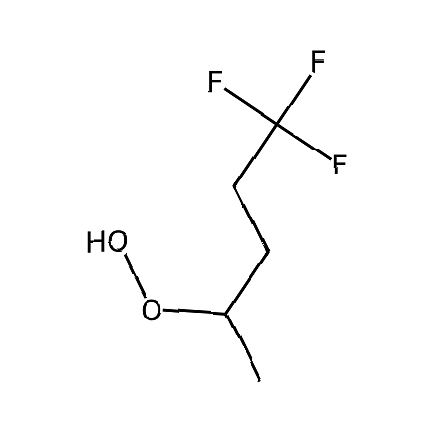 CC(CCC(F)(F)F)OO